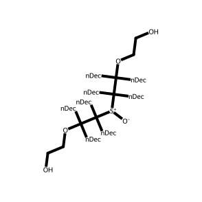 CCCCCCCCCCC(CCCCCCCCCC)(OCCO)C(CCCCCCCCCC)(CCCCCCCCCC)[S+]([O-])C(CCCCCCCCCC)(CCCCCCCCCC)C(CCCCCCCCCC)(CCCCCCCCCC)OCCO